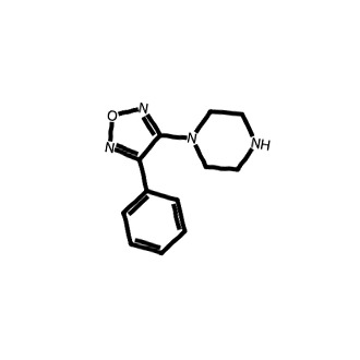 c1ccc(-c2nonc2N2CCNCC2)cc1